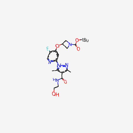 Cc1nn(-c2cc(OC3CN(C(=O)OC(C)(C)C)C3)c(F)cn2)c(C)c1C(=O)NCCO